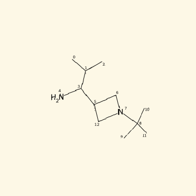 CC(C)C(N)C1CN(C(C)(C)C)C1